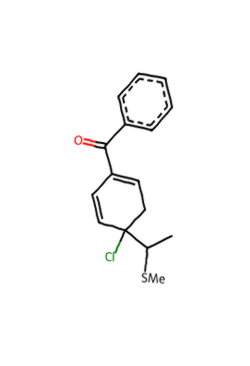 CSC(C)C1(Cl)C=CC(C(=O)c2ccccc2)=CC1